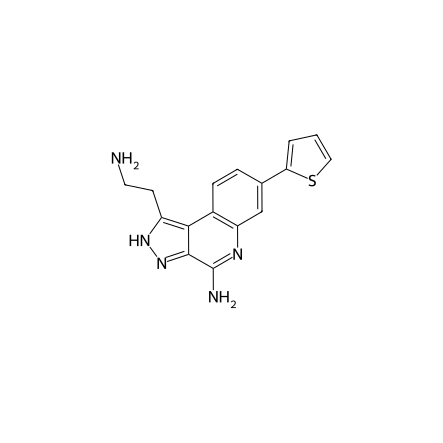 NCCc1[nH]nc2c(N)nc3cc(-c4cccs4)ccc3c12